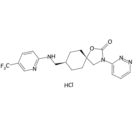 Cl.O=C1O[C@]2(CC[C@H](CNc3ccc(C(F)(F)F)cn3)CC2)CN1c1cccnn1